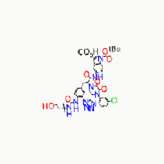 CC(C)(CCO)NC(=O)Nc1ccc(CC(C(=O)Nc2ccc3c(c2)cc(C(=O)O)n3C(=O)OC(C)(C)C)N2CCN(c3cc(Cl)ccc3-n3cnnn3)C(=O)C2=O)cc1